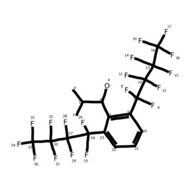 CC(C)C([O])c1c(C(F)(F)C(F)(F)C(F)(F)C(F)(F)F)cccc1C(F)(F)C(F)(F)C(F)(F)C(F)(F)F